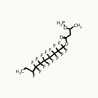 CCC(F)C(F)(F)C(F)(F)C(F)(F)C(F)(F)C(F)(F)C(F)(F)C(F)(F)OC(=O)CC(C)OP